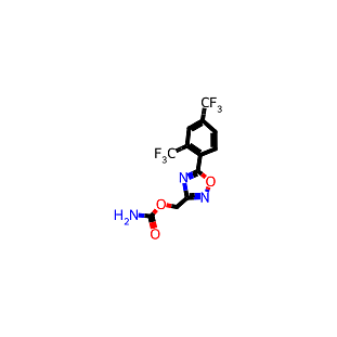 NC(=O)OCc1noc(-c2ccc(C(F)(F)F)cc2C(F)(F)F)n1